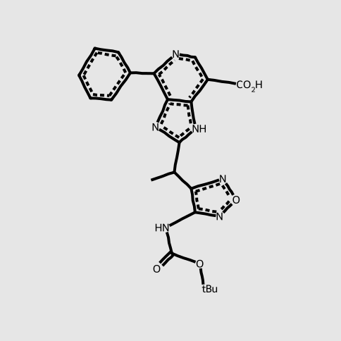 CC(c1nc2c(-c3ccccc3)ncc(C(=O)O)c2[nH]1)c1nonc1NC(=O)OC(C)(C)C